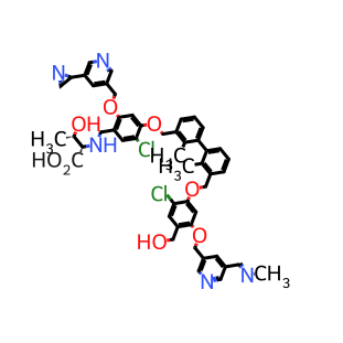 C/N=C/c1cncc(COc2cc(OCc3cccc(-c4cccc(COc5cc(OCc6cncc(C7C=N7)c6)c(CN[C@H](C(=O)O)[C@H](C)O)cc5Cl)c4C)c3C)c(Cl)cc2CO)c1